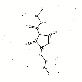 CCCCN1CC(=O)C(C(=O)OCC)C1=O